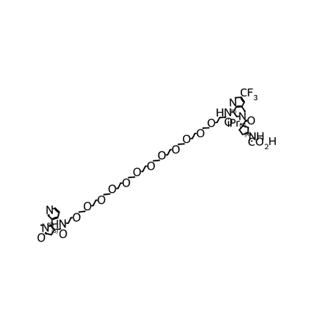 CC(C)[C@]1(C(=O)N2Cc3cc(C(F)(F)F)cnc3[C@H](NC(=O)CCOCCOCCOCCOCCOCCOCCOCCOCCOCCOCCOCCOCCNC(=O)[C@H]3CC(=O)N(C)[C@@H]3c3cccnc3)C2)CC[C@@H](NC(=O)O)C1